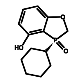 O=[P@]1(C2CCCCC2)COc2cccc(O)c21